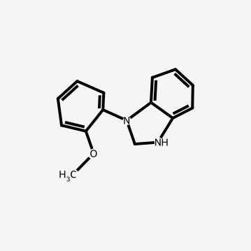 COc1ccccc1N1CNc2ccccc21